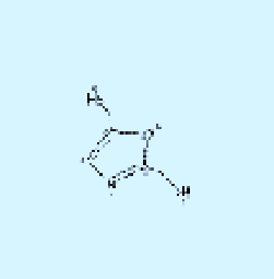 Sc1cnc(S)o1